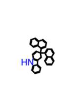 C1=CC(c2cccc3ccccc23)(c2cccc3ccccc23)Cc2c1[nH]c1ccccc21